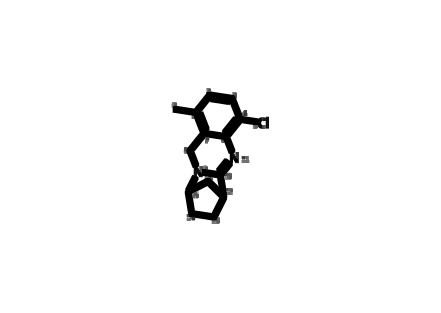 Cc1ccc(Cl)c2c1CN1C(=N2)C2CCC1C2